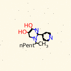 CCCCCC(C)N1CC(O)=C(O)N=C1c1ccncc1